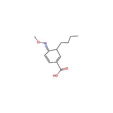 CCCCC1C=C(C(=O)O)C=CC1=NOC